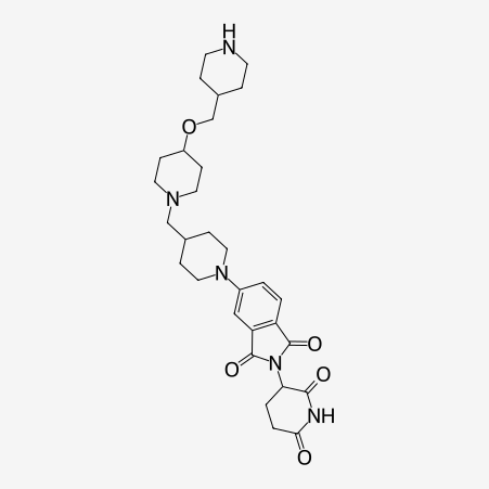 O=C1CCC(N2C(=O)c3ccc(N4CCC(CN5CCC(OCC6CCNCC6)CC5)CC4)cc3C2=O)C(=O)N1